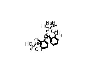 Cc1ccccc1Cl.Cc1ccccc1Cl.OP(O)(O)=S.OP(O)(O)=S.[NaH]